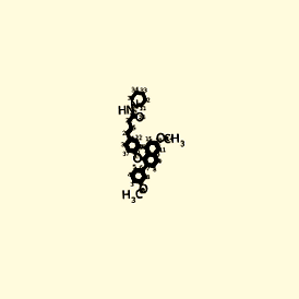 COc1cccc(-c2ccc3cc(OC)ccc3c2Oc2ccc(C=CCC(=O)NN3CCCCC3)cc2)c1